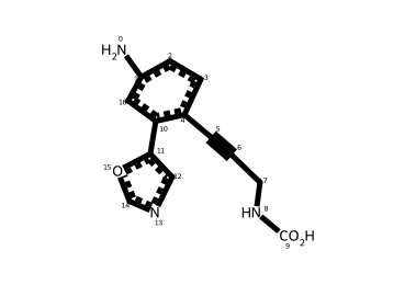 Nc1ccc(C#CCNC(=O)O)c(-c2cnco2)c1